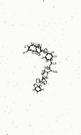 O=S(=O)(c1ccco1)N1C=C2CN(Cc3ccc(Oc4nc5ccccc5s4)cc3)CC2C1